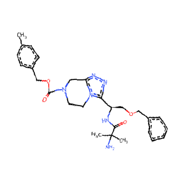 Cc1ccc(COC(=O)N2CCn3c(nnc3[C@@H](COCc3ccccc3)NC(=O)C(C)(C)N)C2)cc1